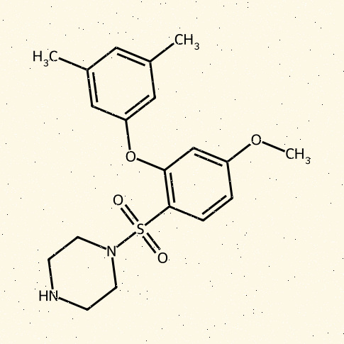 COc1ccc(S(=O)(=O)N2CCNCC2)c(Oc2cc(C)cc(C)c2)c1